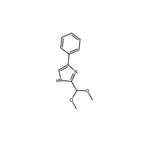 COC(OC)c1nc(-c2ccccc2)c[nH]1